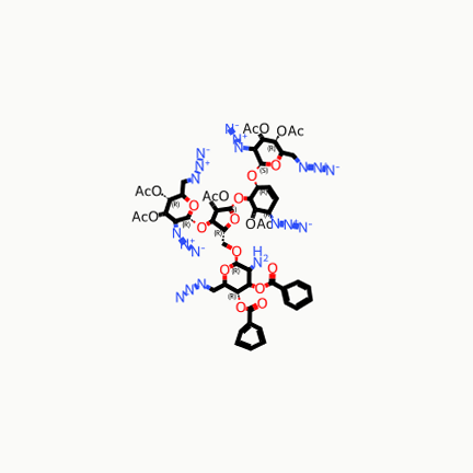 CC(=O)OC1C(O[C@H]2OC(CN=[N+]=[N-])[C@@H](OC(C)=O)C(OC(C)=O)C2N=[N+]=[N-])[C@@H](CO[C@@H]2OC(CN=[N+]=[N-])[C@@H](OC(=O)c3ccccc3)C(OC(=O)c3ccccc3)C2N)O[C@H]1OC1C(OC(C)=O)[C@H](N=[N+]=[N-])C=C[C@H]1O[C@H]1OC(CN=[N+]=[N-])[C@@H](OC(C)=O)C(OC(C)=O)C1N=[N+]=[N-]